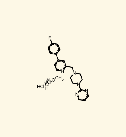 Cl.Cl.Cl.Fc1ccc(-c2ccnc(CN3CCN(c4ncccn4)CC3)c2)cc1.O.O